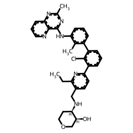 CCc1nc(-c2cccc(-c3cccc(Nc4nc(C)nc5cccnc45)c3C)c2Cl)ccc1CN[C@@H]1CCOC[C@@H]1O